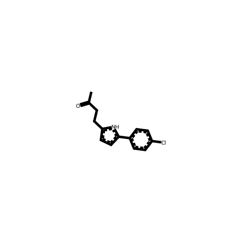 CC(=O)CCc1ccc(-c2ccc(Cl)cc2)[nH]1